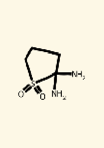 NC1(N)CCCS1(=O)=O